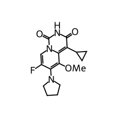 COc1c(N2CCCC2)c(F)cn2c(=O)[nH]c(=O)c(C3CC3)c12